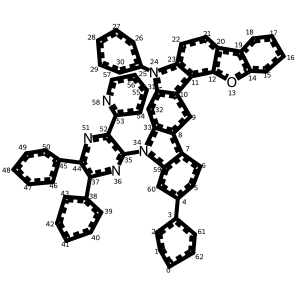 c1ccc(-c2ccc3c4cc5c6c7oc8ccccc8c7ccc6n(-c6ccccc6)c5cc4n(-c4nc(-c5ccccc5)c(-c5ccccc5)nc4-c4ccccn4)c3c2)cc1